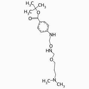 CN(C)CCCOCNOCNc1ccc(C(=O)OC(C)(C)C)cc1